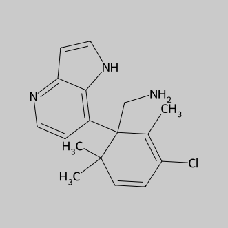 CC1=C(Cl)C=CC(C)(C)C1(CN)c1ccnc2cc[nH]c12